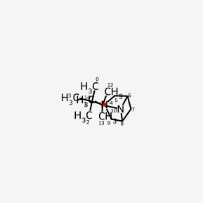 CC(C)(C)N1CC2CC(C1)N2C(C)(C)C